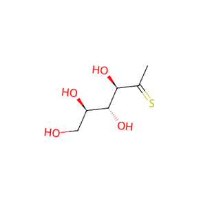 CC(=S)[C@H](O)[C@H](O)[C@H](O)CO